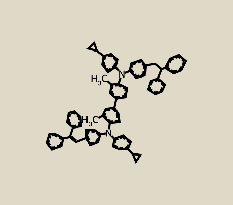 Cc1cc(-c2ccc(N(c3ccc(CC(c4ccccc4)c4ccccc4)cc3)c3ccc(C4CC4)cc3)c(C)c2)ccc1N(c1ccc(C=C(c2ccccc2)c2ccccc2)cc1)c1ccc(C2CC2)cc1